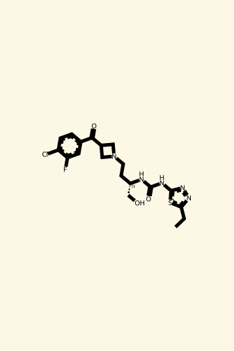 CCc1nnc(NC(=O)N[C@H](CO)CCN2CC(C(=O)c3ccc(Cl)c(F)c3)C2)s1